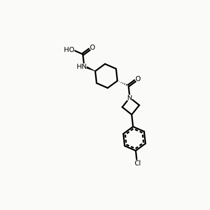 O=C(O)N[C@H]1CC[C@H](C(=O)N2CC(c3ccc(Cl)cc3)C2)CC1